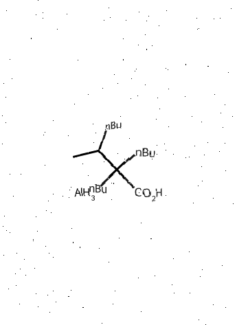 CCCCC(C)C(CCCC)(CCCC)C(=O)O.[AlH3]